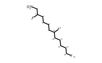 O=[N+]([O-])CC(F)CCCCC(F)CCCCCF